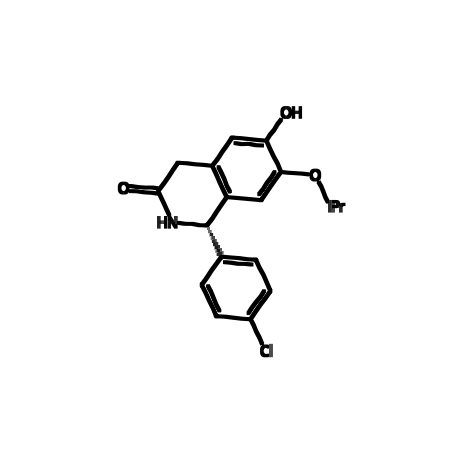 CC(C)Oc1cc2c(cc1O)CC(=O)N[C@H]2c1ccc(Cl)cc1